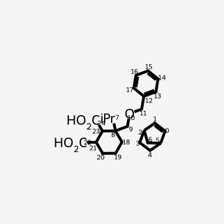 C1=CC2CCC1C2.CC(C)C1(COCc2ccccc2)CCCC(C(=O)O)C1C(=O)O